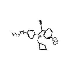 C#Cc1c(-c2ccc(N)cc2)n(CC2CCC2)c2cc(OCC)ccc12